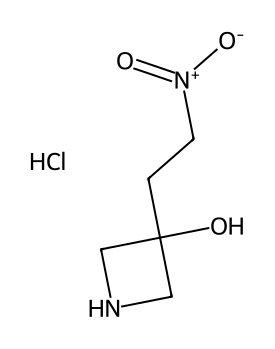 Cl.O=[N+]([O-])CCC1(O)CNC1